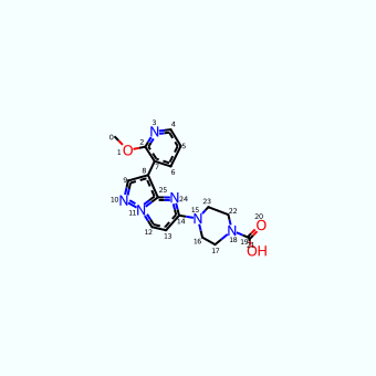 COc1ncccc1-c1cnn2ccc(N3CCN(C(=O)O)CC3)nc12